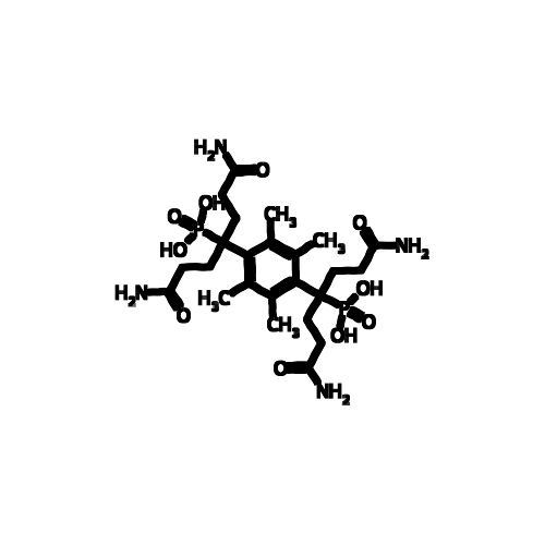 Cc1c(C)c(C(CCC(N)=O)(CCC(N)=O)P(=O)(O)O)c(C)c(C)c1C(CCC(N)=O)(CCC(N)=O)P(=O)(O)O